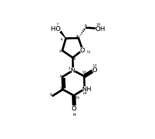 Cc1cn(C2C[C@@H](O)[C@H](CO)O2)c(=O)[nH]c1=O